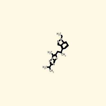 CCn1ncc2c(C(C)Cc3sc4nc(C(C)C)nn4c3C)cccc21